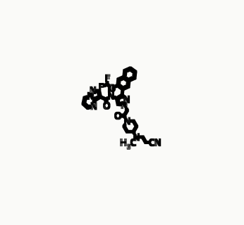 CN(CCC#N)C1CCN(C(=O)Cn2cc(NC(=O)c3cnn4cccnc34)c(-c3cc4ccccc4cc3OC(F)F)n2)CC1